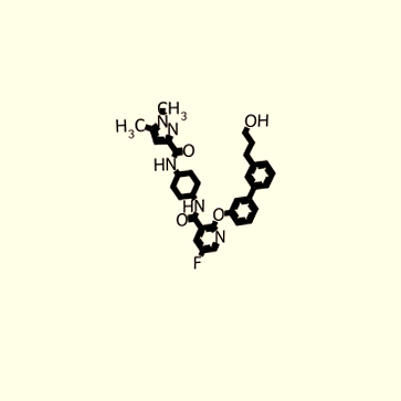 Cc1cc(C(=O)NC2CCC(NC(=O)c3cc(F)cnc3Oc3cccc(-c4cccc(CCCO)c4)c3)CC2)nn1C